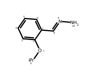 CC(C)Oc1ccccc1C=NN